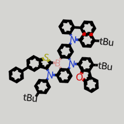 CC(C)(C)c1ccc(N(c2ccc3c(c2)N(c2ccc(C(C)(C)C)c4c2oc2ccccc24)c2cccc4c2B3c2sc3ccc(-c5ccccc5)cc3c2N4c2ccc(C(C)(C)C)cc2)c2ccccc2-c2ccccc2)cc1